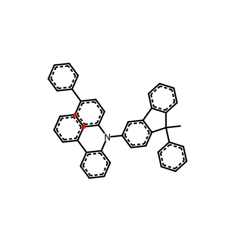 CC1(c2ccccc2)c2ccccc2-c2cc(N(c3ccc(-c4ccccc4)cc3)c3ccccc3-c3ccccc3)ccc21